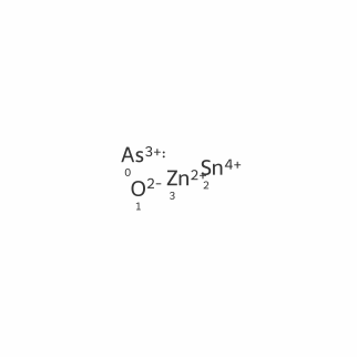 [As+3].[O-2].[Sn+4].[Zn+2]